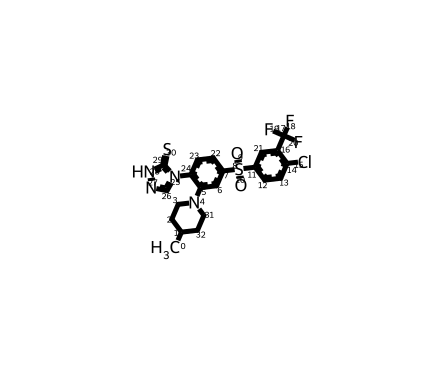 CC1CCN(c2cc(S(=O)(=O)c3ccc(Cl)c(C(F)(F)F)c3)ccc2-n2cn[nH]c2=S)CC1